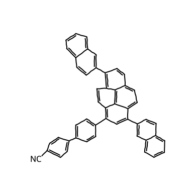 N#Cc1ccc(-c2ccc(-c3cc(-c4ccc5ccccc5c4)c4ccc5ccc(-c6ccc7ccccc7c6)c6ccc3c4c56)cc2)cc1